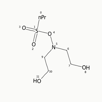 CCCS(=O)(=O)ON(CCO)CCO